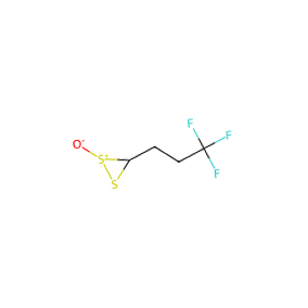 [O-][S+]1SC1CCC(F)(F)F